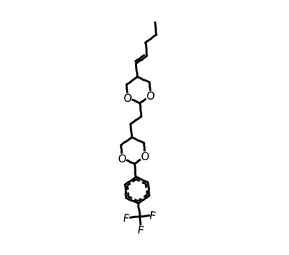 CCCC=CC1COC(CCC2COC(c3ccc(C(F)(F)F)cc3)OC2)OC1